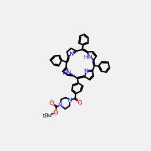 CC(C)(C)OC(=O)N1CCN(C(=O)c2ccc(-c3c4nc(c(-c5ccccc5)c5ccc([nH]5)c(-c5ccccc5)c5nc(c(-c6ccccc6)c6ccc3[nH]6)CC5)C=C4)cc2)CC1